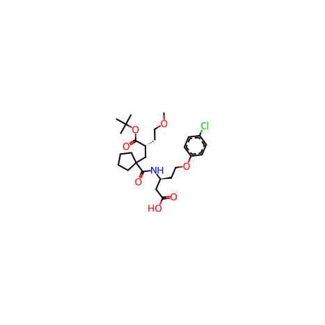 COCC[C@H](CC1(C(=O)N[C@@H](CCOc2ccc(Cl)cc2)CC(=O)O)CCCC1)C(=O)OC(C)(C)C